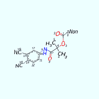 CCCCCCCCCC(=O)OC(C)(C)C(=O)Nc1ccc(C#N)c(C#N)c1